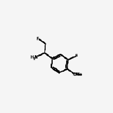 COc1ccc(C(N)CF)cc1F